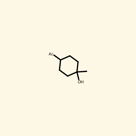 CC(=O)C1CCC(C)(O)CC1